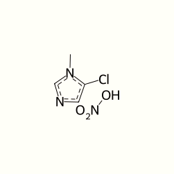 Cn1cncc1Cl.O=[N+]([O-])O